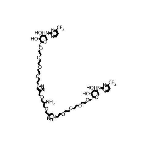 NC(COCc1cn(CCOCCOCCOCCOC[C@H]2OC[C@H](Nc3nccc(C(F)(F)F)n3)[C@@H](O)[C@H]2O)nn1)COCc1cn(CCOCCOCCOCCOC[C@H]2OC[C@H](Nc3nccc(C(F)(F)F)n3)[C@@H](O)[C@H]2O)nn1